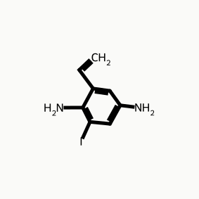 C=Cc1cc(N)cc(I)c1N